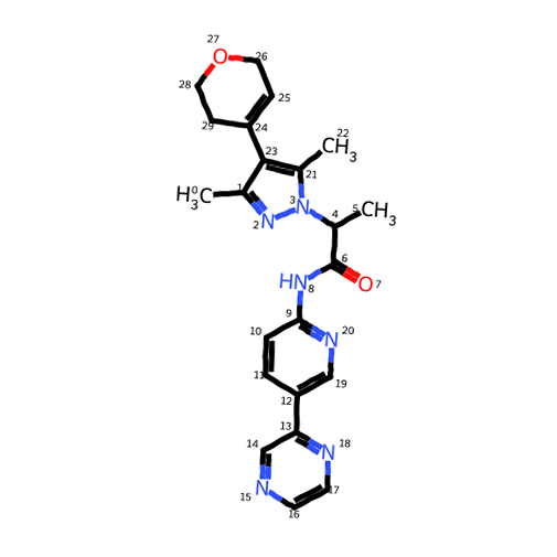 Cc1nn(C(C)C(=O)Nc2ccc(-c3cnccn3)cn2)c(C)c1C1=CCOCC1